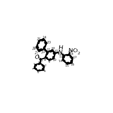 O=C(c1ccccc1)c1ccc(Nc2ccccc2[N+](=O)[O-])cc1-c1ccccc1